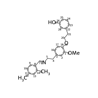 COc1cc(CCN=Cc2ccc(C)cc2C)ccc1OCCc1cccc(O)c1